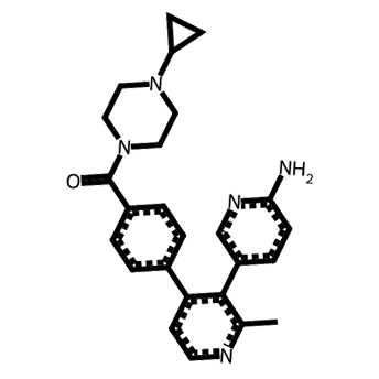 Cc1nccc(-c2ccc(C(=O)N3CCN(C4CC4)CC3)cc2)c1-c1ccc(N)nc1